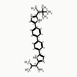 CC(C)[C@H](N)c1ncc(-c2ccc(-c3ccc(-c4cnc([C@@H](N)C(C)(C)C)[nH]4)cc3)cc2)[nH]1